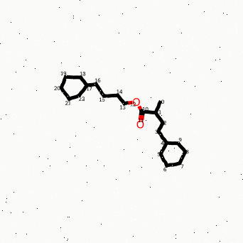 CC(CCC1CCCCC1)C(=O)OCCCCC1CCCCC1